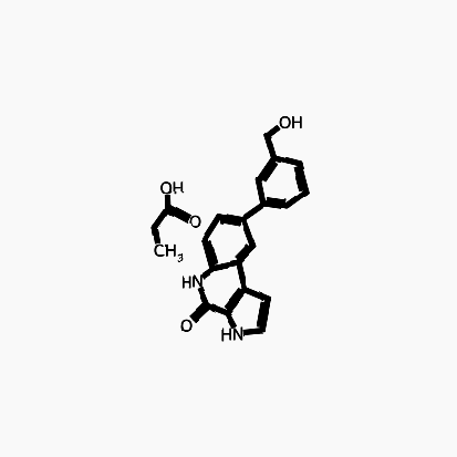 CCC(=O)O.O=c1[nH]c2ccc(-c3cccc(CO)c3)cc2c2cc[nH]c12